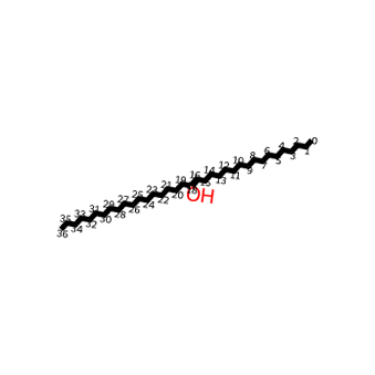 CCCCCCCCCCCCCCCCC=C(O)CCCCCCCCCCCCCCCCCC